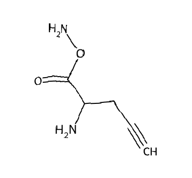 C#CCC(N)C(=O)ON